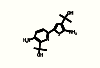 CC(C)(O)c1cc(-c2ccc(N)c(C(C)(C)O)n2)sc1N